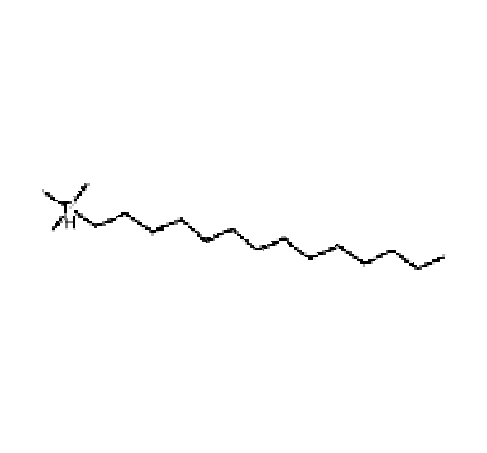 CCCCCCCCCCCCCC[PH](C)(C)C